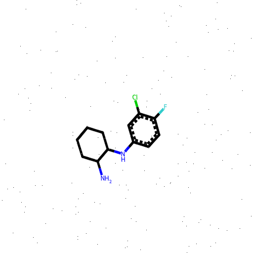 NC1CC[CH]CC1Nc1ccc(F)c(Cl)c1